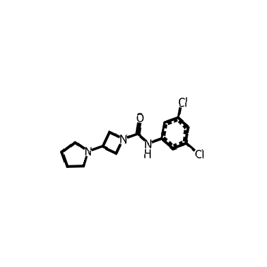 O=C(Nc1cc(Cl)cc(Cl)c1)N1CC(N2CCCC2)C1